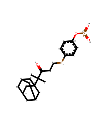 CC(C)(C(=O)CCSc1ccc(O[SH](=O)=O)cc1)C12CC3CC(CC(C3)C1)C2